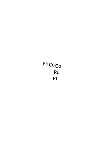 [Co].[Cu].[Pd].[Pt].[Ru]